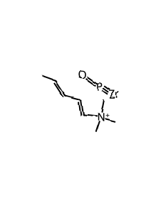 CC=CC=C[N+](C)(C)C.O=[P]#[Zr]